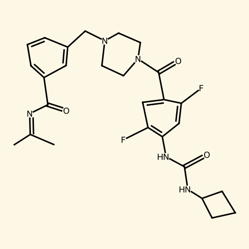 CC(C)=NC(=O)c1cccc(CN2CCN(C(=O)c3cc(F)c(NC(=O)NC4CCC4)cc3F)CC2)c1